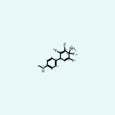 CNc1ccc(C2C=C(F)C(N)(F)C(F)=C2F)cc1